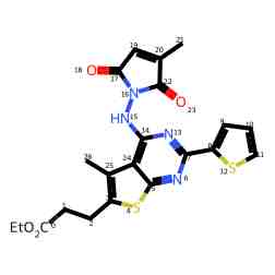 CCOC(=O)CCc1sc2nc(-c3cccs3)nc(NN3C(=O)C=C(C)C3=O)c2c1C